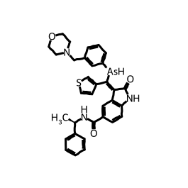 C[C@@H](NC(=O)c1ccc2c(c1)/C(=C(/[AsH]c1cccc(CN3CCOCC3)c1)c1ccsc1)C(=O)N2)c1ccccc1